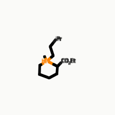 CCOC(=O)C1CCCC[PH]1(C)CCC(C)C